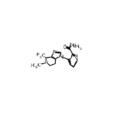 CN1CCc2c(ncn2-c2cccnc2C(N)=O)C1C(F)(F)F